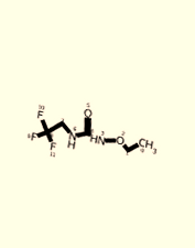 CCONC(=O)NCC(F)(F)F